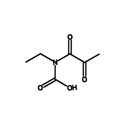 CCN(C(=O)O)C(=O)C(C)=O